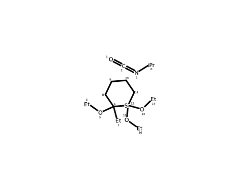 CC(C)N=C=O.CCOC1(CC)CCCC[Si]1(OCC)OCC